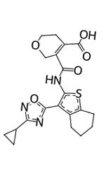 O=C(O)C1=C(C(=O)Nc2sc3c(c2-c2nc(C4CC4)no2)CCCC3)COCC1